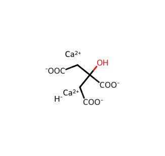 O=C([O-])CC(O)(CC(=O)[O-])C(=O)[O-].[Ca+2].[Ca+2].[H-]